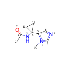 CC(=O)NC1(c2cncn2C)CC1